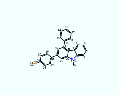 Cn1c2ccccc2c2c(-c3ccccc3)cc(-c3ccc(Br)cc3)cc21